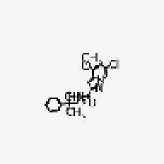 COc1cc(Cl)cn2nc(C(=O)NCC(C)(C)c3ccccc3)cc12